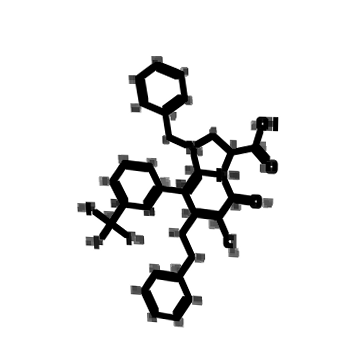 O=C(O)C1CN(Cc2ccccc2)c2c(-c3cccc(C(F)(F)F)c3)c(CCc3ccccc3)c(Cl)c(=O)n21